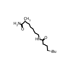 CC[C@H](C)CCCC(=O)NCCCCC[C@@H](C)C(N)=O